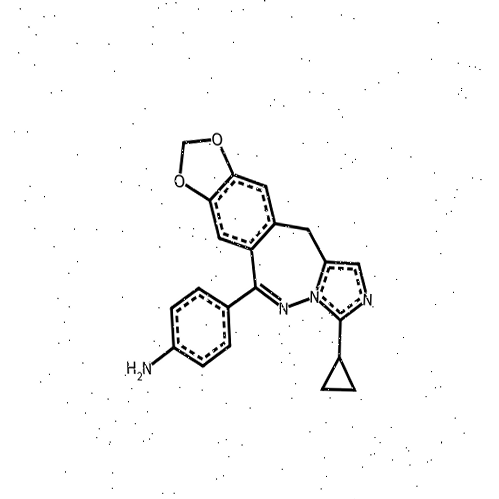 Nc1ccc(C2=Nn3c(cnc3C3CC3)Cc3cc4c(cc32)OCO4)cc1